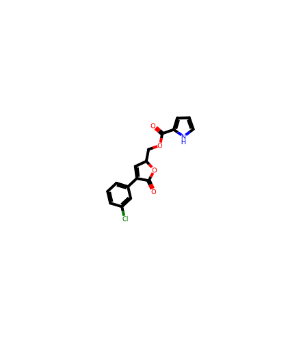 O=C1OC(COC(=O)c2ccc[nH]2)C=C1c1cccc(Cl)c1